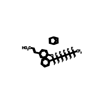 C1=CC2CCC1C2.O=C(O)C=Cc1ccc(OC(F)(c2ccccc2)C(F)(F)C(F)(F)C(F)(F)C(F)(F)C(F)(F)C(F)(F)F)cc1